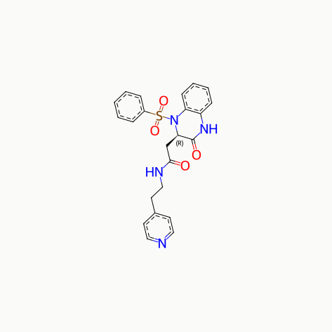 O=C(C[C@@H]1C(=O)Nc2ccccc2N1S(=O)(=O)c1ccccc1)NCCc1ccncc1